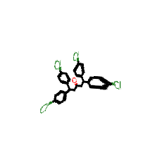 O=C(CC(c1ccc(Cl)cc1)c1ccc(Cl)cc1)CC(c1ccc(Cl)cc1)c1ccc(Cl)cc1